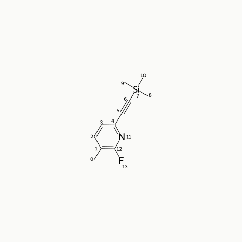 Cc1ccc(C#C[Si](C)(C)C)nc1F